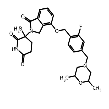 BC1(N2Cc3c(OCc4ccc(CN5CC(C)OC(C)C5)cc4F)cccc3C2=O)CCC(=O)NC1=O